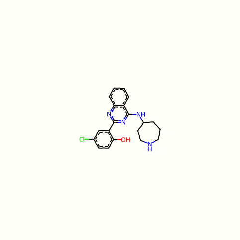 Oc1ccc(Cl)cc1-c1nc(NC2CCCNCC2)c2ccccc2n1